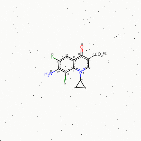 CCOC(=O)c1cn(C2CC2)c2c(F)c(N)c(F)cc2c1=O